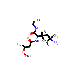 CCCCOC(C)CC(=O)N[C@H](C(=O)NCC=O)C(C)(C)CC(C)(C)N